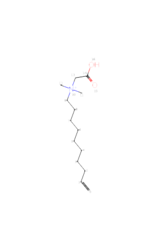 C=CCCCCCCCC[N+](C)(C)CC(=O)O